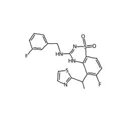 CC(c1nccs1)c1c(F)ccc2c1NC(NCc1cccc(F)c1)=NS2(=O)=O